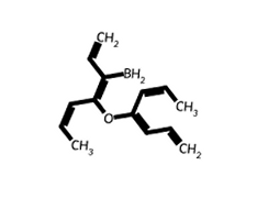 B/C(C=C)=C(/C=C\C)OC(/C=C\C)=C/C=C